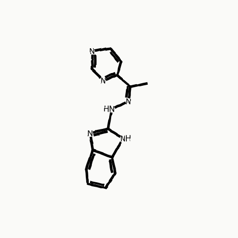 CC(=NNc1nc2ccccc2[nH]1)c1ccncn1